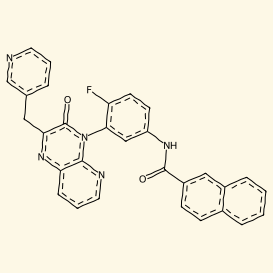 O=C(Nc1ccc(F)c(-n2c(=O)c(Cc3cccnc3)nc3cccnc32)c1)c1ccc2ccccc2c1